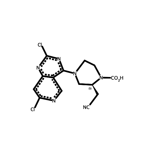 N#CC[C@H]1CN(c2nc(Cl)nc3cc(Cl)ncc23)CCN1C(=O)O